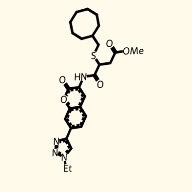 CCn1cc(-c2ccc3cc(NC(=O)C(CC(=O)OC)SCC4CCCCCCC4)c(=O)oc3c2)nn1